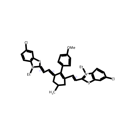 CCN1/C(=C/C=C2\CC(C)CC(/C=C/c3sc4cc(Cl)ccc4[n+]3CC)=C2c2ccc(OC)cc2)Sc2cc(Cl)ccc21